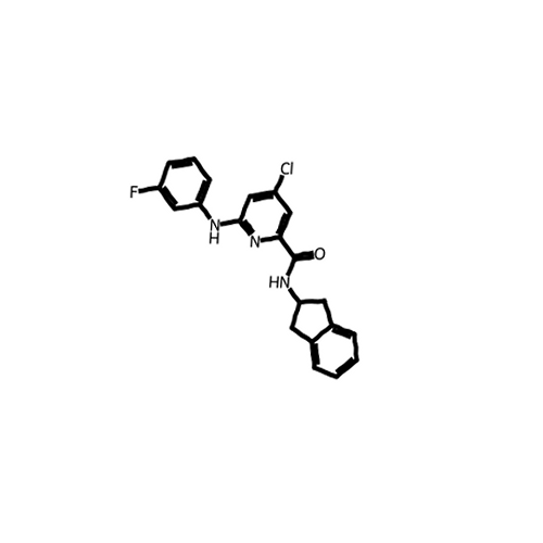 O=C(NC1Cc2ccccc2C1)c1cc(Cl)cc(Nc2cccc(F)c2)n1